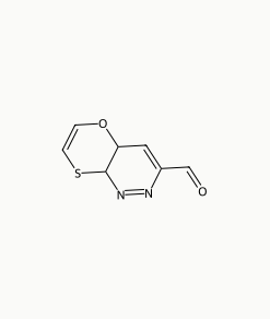 O=CC1=CC2OC=CSC2N=N1